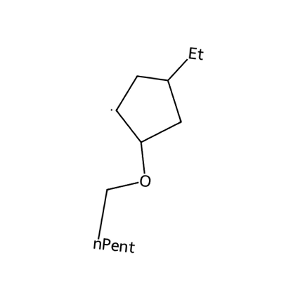 [CH2]CC1C[CH]C(OCCCCCC)C1